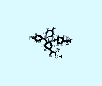 CC1CCN(C(c2ccc(F)cc2)c2ccc(C(C)C(=O)O)cc2Nc2ccc(C(F)(F)F)cc2)CC1